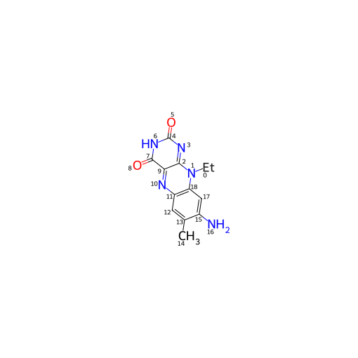 [CH2]Cn1c2nc(=O)[nH]c(=O)c-2nc2cc(C)c(N)cc21